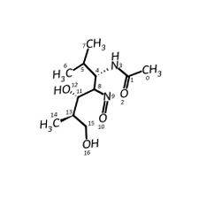 CC(=O)N[C@@H](C(C)C)C(N=O)[C@@H](O)[C@H](C)CO